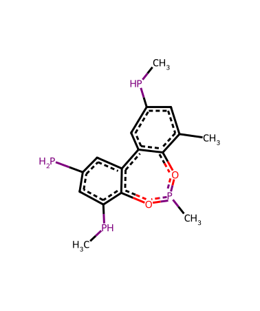 CPc1cc(C)c2op(C)oc3c(PC)cc(P)cc3c2c1